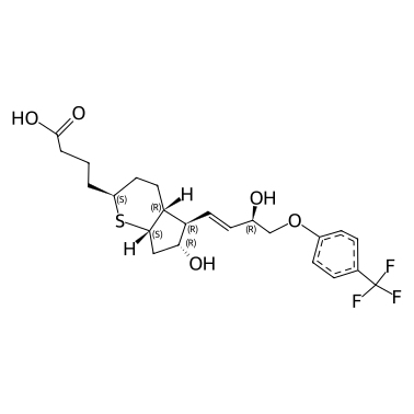 O=C(O)CCC[C@H]1CC[C@@H]2[C@@H](C=C[C@@H](O)COc3ccc(C(F)(F)F)cc3)[C@H](O)C[C@@H]2S1